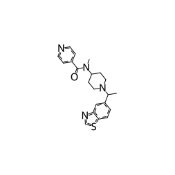 CC(c1ccc2scnc2c1)N1CCC(N(C)C(=O)c2ccncc2)CC1